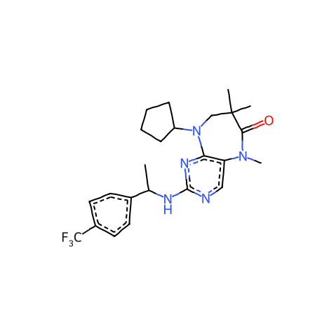 CC(Nc1ncc2c(n1)N(C1CCCC1)CC(C)(C)C(=O)N2C)c1ccc(C(F)(F)F)cc1